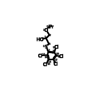 CC(C)OCC(O)CSc1c(Cl)c(Cl)c(Cl)c(Cl)c1Cl